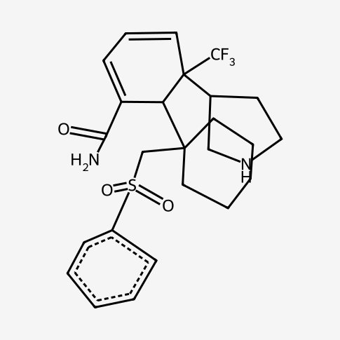 NC(=O)C1=CC=CC(C2CCNC2)(C(F)(F)F)C1C1(CS(=O)(=O)c2ccccc2)CCCCC1